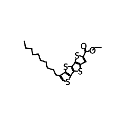 CCCCCCCCCCc1csc2c1sc1c3sc(C(=O)OCC)cc3sc21